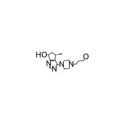 C[C@@H]1C[C@@H](O)c2ncnc(N3CCN(CCC=O)C[C@@H]3C)c21